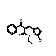 CCOC(=O)C(=Cc1ccc(Cl)s1)C(=O)c1ccccc1